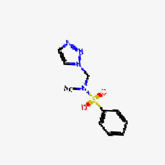 CC(=O)N(Cn1ccnn1)S(=O)(=O)c1ccccc1